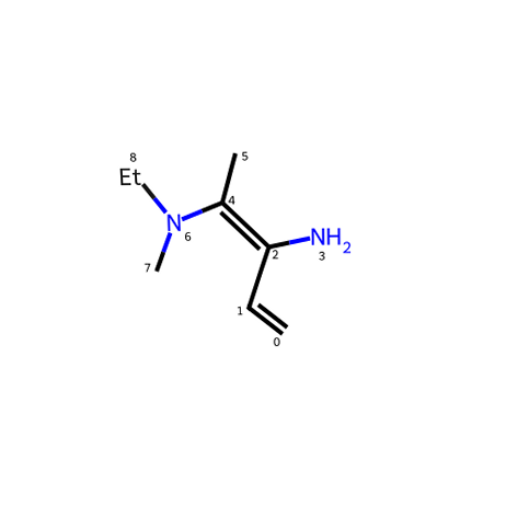 C=C/C(N)=C(/C)N(C)CC